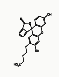 O=C(O)CCCCc1cc2c(cc1O)Oc1cc(O)ccc1C21OC(=O)c2ccccc21